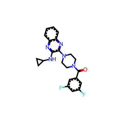 O=C(c1cc(F)cc(F)c1)N1CCN(c2nc3ccccc3nc2NC2CC2)CC1